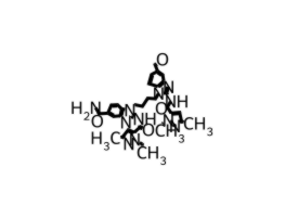 CCn1nc(C)cc1C(=O)Nc1nc2cc(C=O)ccc2n1CCCCn1c(NC(=O)c2cc(C)nn2CC)nc2cc(C(N)=O)ccc21